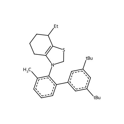 CCC1CCCC2=C1SCN2c1c(C)cccc1-c1cc(C(C)(C)C)cc(C(C)(C)C)c1